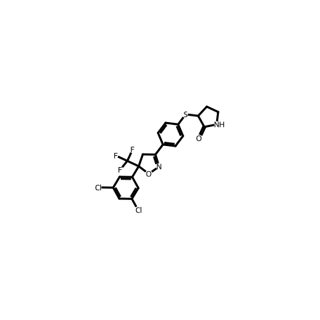 O=C1NCCC1Sc1ccc(C2=NOC(c3cc(Cl)cc(Cl)c3)(C(F)(F)F)C2)cc1